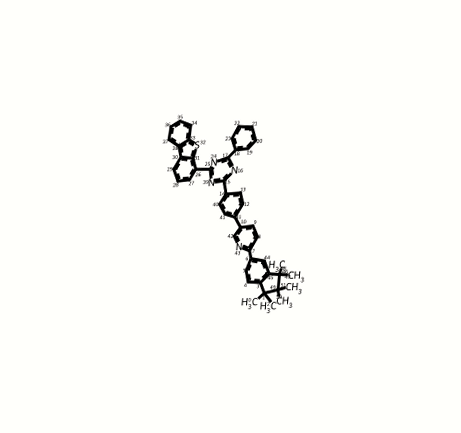 CC1(C)c2ccc(-c3ccc(-c4ccc(-c5nc(-c6ccccc6)nc(-c6cccc7c6sc6ccccc67)n5)cc4)cn3)cc2C(C)(C)C1(C)C